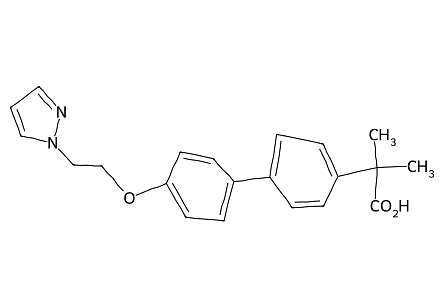 CC(C)(C(=O)O)c1ccc(-c2ccc(OCCn3cccn3)cc2)cc1